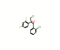 Fc1ccc(C2(CCl)OC2c2ccccc2Cl)c(F)c1